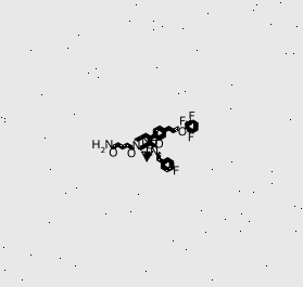 NC(=O)CCCC(=O)N1CC2CC(c3ccc(CCCOc4c(F)ccc(F)c4F)cc3)=C(C(=O)N(CCc3ccc(F)cc3)C3CC3)[C@@H](C1)N2